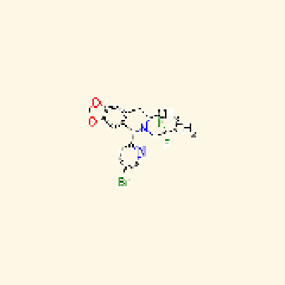 C[C@@H]1Cc2cc3c(cc2[C@@H](c2ccc(Br)cn2)N1CC(C)(F)F)OCO3